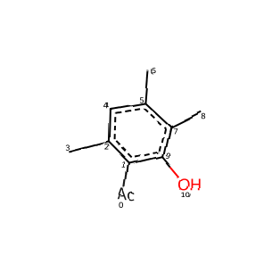 CC(=O)c1c(C)cc(C)c(C)c1O